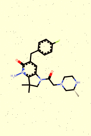 C[C@@H]1CN(CC(=O)N2CC(C)(C)c3c2cc(Cc2ccc(F)cc2)c(=O)n3N)CCN1